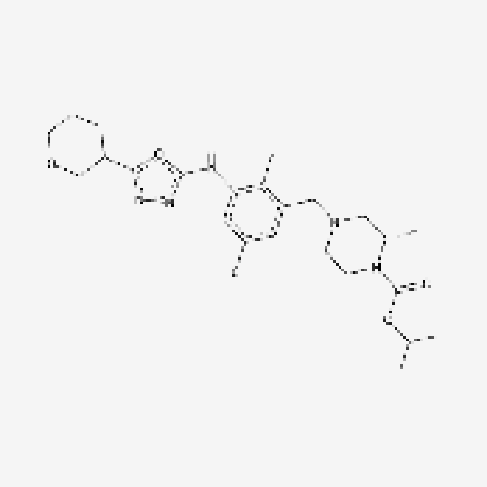 Cc1c(CN2CCN(C(=O)OC(C)C)[C@@H](C)C2)cc(Cl)cc1Nc1nnc(C2CCCOC2)o1